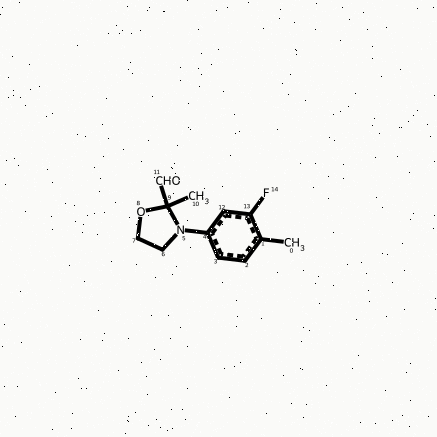 Cc1ccc(N2CCOC2(C)C=O)cc1F